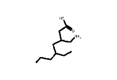 CCCC(CC)CC(CN)CC(=O)O